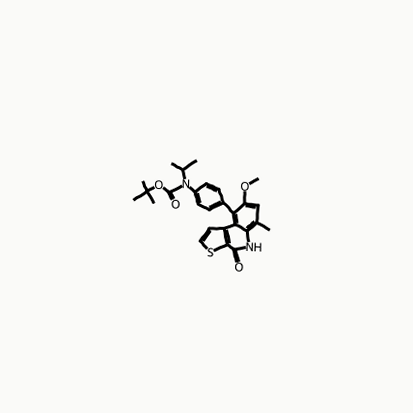 COc1cc(C)c2[nH]c(=O)c3sccc3c2c1-c1ccc(N(C(=O)OC(C)(C)C)C(C)C)cc1